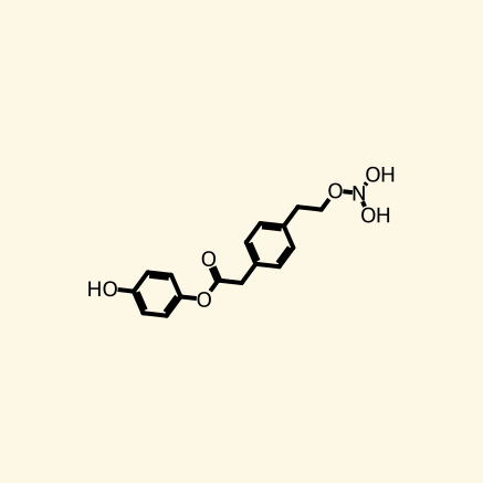 O=C(Cc1ccc(CCON(O)O)cc1)Oc1ccc(O)cc1